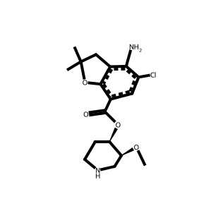 CO[C@H]1CNCC[C@H]1OC(=O)c1cc(Cl)c(N)c2c1OC(C)(C)C2